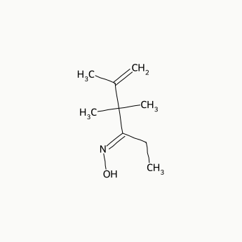 C=C(C)C(C)(C)C(CC)=NO